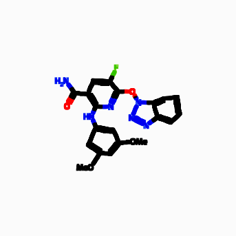 COc1cc(Nc2nc(On3nnc4ccccc43)c(F)cc2C(N)=O)cc(OC)c1